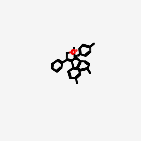 Cc1ccc(C2=C(c3ccccc3)C[O+](C)[B-]2(c2ccc(C)cc2)c2ccc(C)cc2)cc1